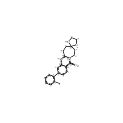 Cc1ccccc1-c1ccc2c(=O)n3c(nc2c1)CCC1(CC3)OCCO1